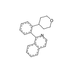 c1ccc(C2CCOCC2)c(-c2nccc3ccccc23)c1